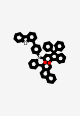 c1ccc(C2(c3ccccc3)c3ccccc3-c3ccc(N(c4ccc(-c5cccc6c5oc5ccccc56)cc4)c4ccccc4-c4cccc5c4ccc4ccccc45)cc32)cc1